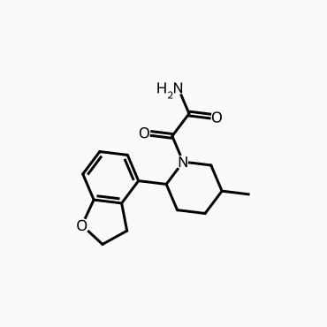 CC1CCC(c2cccc3c2CCO3)N(C(=O)C(N)=O)C1